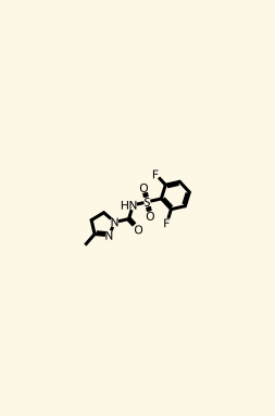 CC1=NN(C(=O)NS(=O)(=O)c2c(F)cccc2F)CC1